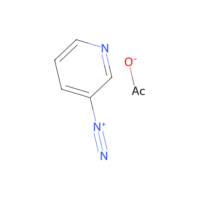 CC(=O)[O-].N#[N+]c1cccnc1